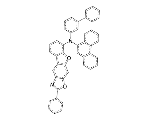 c1ccc(-c2cccc(N(c3cc4ccccc4c4ccccc34)c3cccc4c3oc3cc5oc(-c6ccccc6)nc5cc34)c2)cc1